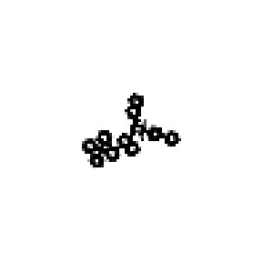 c1ccc(-c2ccc(-c3nc(-c4ccc5ccccc5c4)cc(-c4ccc(-c5cccc6c5-c5ccccc5C6(c5ccccc5)c5ccccc5)c5ccccc45)n3)cc2)cc1